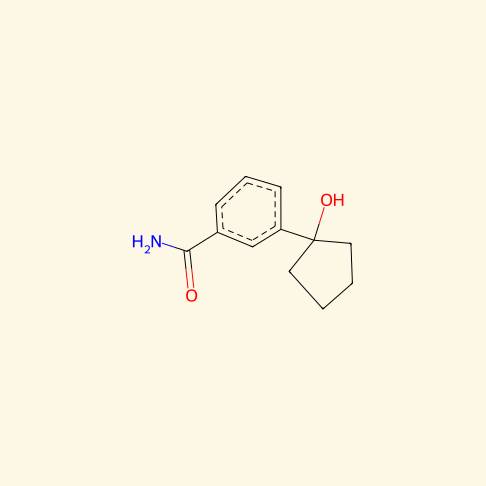 NC(=O)c1cccc(C2(O)CCCC2)c1